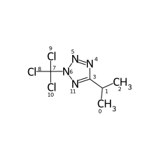 CC(C)c1nnn(C(Cl)(Cl)Cl)n1